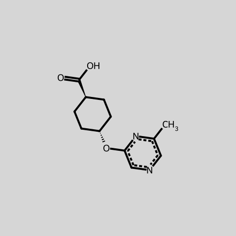 Cc1cncc(O[C@H]2CC[C@H](C(=O)O)CC2)n1